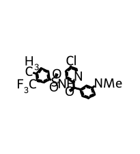 CNc1cccc(C(=O)c2ncc(Cl)cc2NS(=O)(=O)c2ccc(C)c(C(F)(F)F)c2)c1